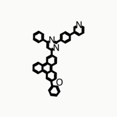 c1ccc(-c2cc(-c3ccc4c(c3)c3ccccc3c3cc5c(cc43)oc3ccccc35)nc(-c3ccc(-c4cccnc4)cc3)n2)cc1